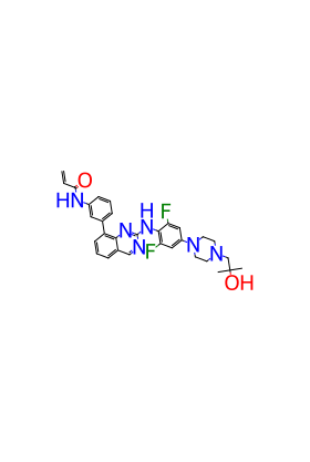 C=CC(=O)Nc1cccc(-c2cccc3cnc(Nc4c(F)cc(N5CCN(CC(C)(C)O)CC5)cc4F)nc23)c1